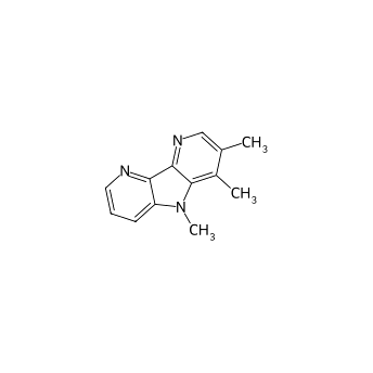 Cc1cnc2c3ncccc3n(C)c2c1C